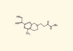 Cc1cc(C(=N)C=N)cc2c1CCN(CCC(=O)NC(C)(C)C)C2